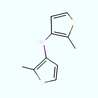 Cc1sccc1Pc1ccsc1C